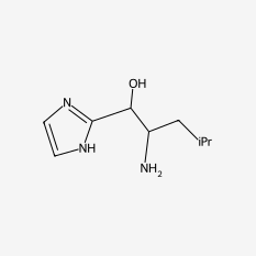 CC(C)CC(N)C(O)c1ncc[nH]1